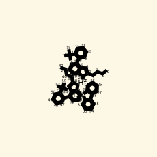 CCCCC1=Cc2c(-c3ccccc3C(C)(C)C)cccc2[CH]1[Hf]([c]1cccc2c1[SiH2]c1ccccc1-2)[CH]1C(CCCC)=Cc2c(-c3ccccc3C(C)(C)C)cccc21